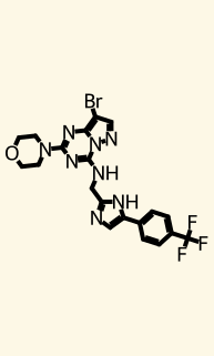 FC(F)(F)c1ccc(-c2cnc(CNc3nc(N4CCOCC4)nc4c(Br)cnn34)[nH]2)cc1